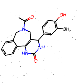 Bc1cc(C2NC(=O)NC3=C2CN(C(C)=O)Cc2ccccc23)ccc1O